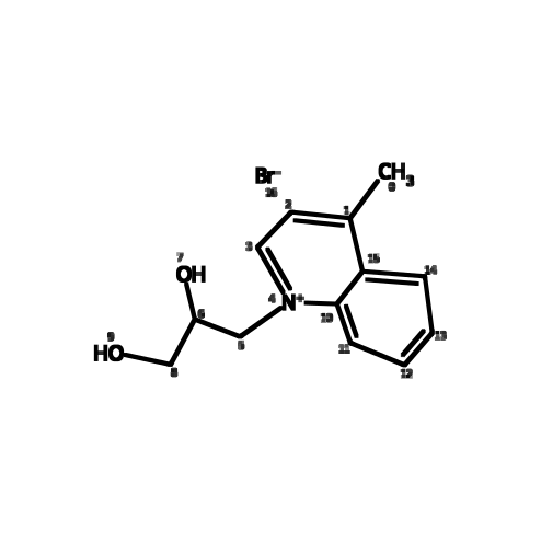 Cc1cc[n+](CC(O)CO)c2ccccc12.[Br-]